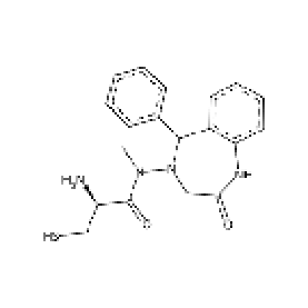 CN(C(=O)[C@H](N)CS)N1CC(=O)Nc2ccccc2C1c1ccccc1